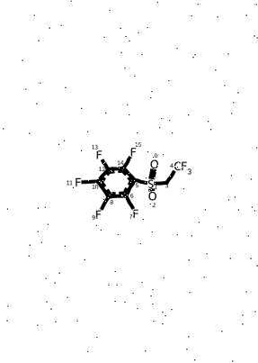 O=S(=O)(CC(F)(F)F)c1c(F)c(F)c(F)c(F)c1F